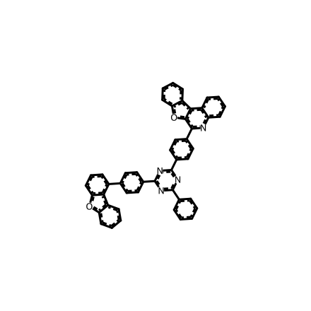 c1ccc(-c2nc(-c3ccc(-c4nc5ccccc5c5c4oc4ccccc45)cc3)nc(-c3ccc(-c4cccc5oc6ccccc6c45)cc3)n2)cc1